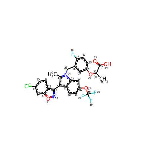 Cc1c(-c2noc3cc(Cl)ccc23)c2ccc(OC(F)(F)F)cc2n1Cc1cc(O[C@H](C)C(=O)O)ccc1F